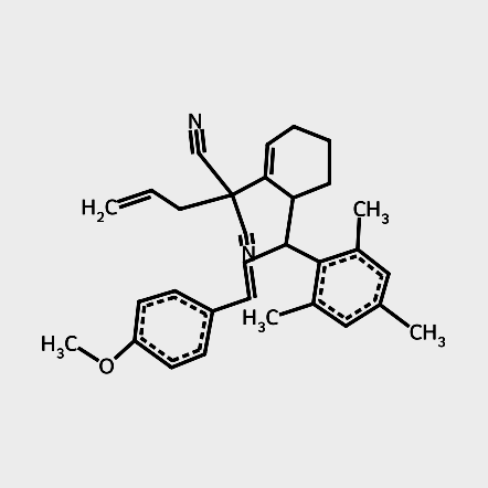 C=CCC(C#N)(C#N)C1=CCCCC1C(C=Cc1ccc(OC)cc1)c1c(C)cc(C)cc1C